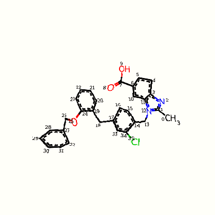 Cc1nc2ccc(C(=O)O)cc2n1Cc1ccc(Cc2ccccc2OCc2ccccc2)cc1Cl